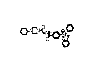 O=C(NCC(=O)N1CCN(C2CCCCC2)CC1)c1ccc(S(=O)(=O)N(Oc2ccccc2)c2ccccc2)cc1